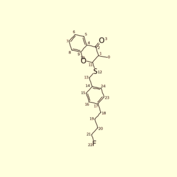 CC1C(=O)c2ccccc2OC1SCc1ccc(CCCCF)cc1